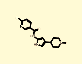 CN1CCC(c2c[nH]c(NC(=O)c3ccc(Cl)nc3)c2)CC1